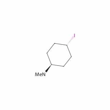 CN[C@H]1CC[C@H](I)CC1